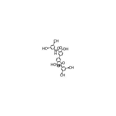 C#Cc1cc(C#C)cc(NC(=O)c2cc(-c3ccc(C(=O)O)c(C(=O)Nc4cc(C#C)cc(C#C)c4)c3)ccc2C(=O)O)c1